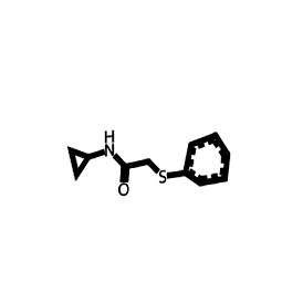 O=C(CSc1ccccc1)NC1CC1